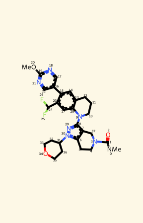 CNC(=O)N1CCc2c(c(N3CCCc4cc(-c5cnc(OC)nc5)c(C(F)F)cc43)nn2C2CCOCC2)C1